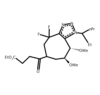 CCCC(CC)n1nnc2c1[C@H](OC)[C@@H](OC)CC(C(=O)CCC(=O)OCC)CC2(F)F